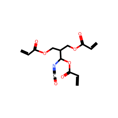 C=CC(=O)OCC(COC(=O)C=C)C(N=C=O)OC(=O)C=C